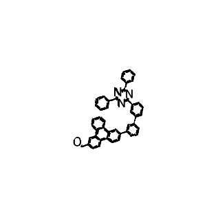 O=Cc1ccc2c3ccc(-c4cccc(-c5cccc(-c6nc(-c7ccccc7)nc(-c7ccccc7)n6)c5)c4)cc3c3ccccc3c2c1